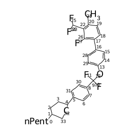 CCCCCC1CCC(c2ccc(C(F)(F)Oc3ccc(-c4ccc(C)c(C(F)F)c4F)cc3)cc2)CC1